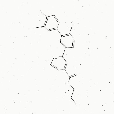 Nc1ncc(-c2cccc(C(=O)NCCO)c2)cc1-c1ccc(F)c(Cl)c1